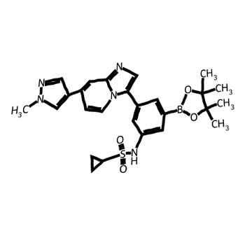 Cn1cc(-c2ccn3c(-c4cc(NS(=O)(=O)C5CC5)cc(B5OC(C)(C)C(C)(C)O5)c4)cnc3c2)cn1